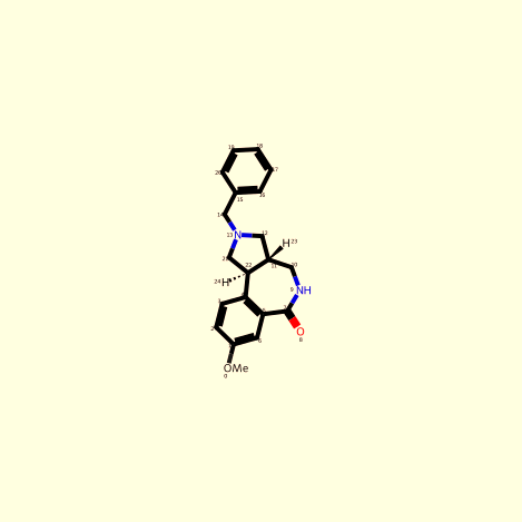 COc1ccc2c(c1)C(=O)NC[C@H]1CN(Cc3ccccc3)C[C@H]21